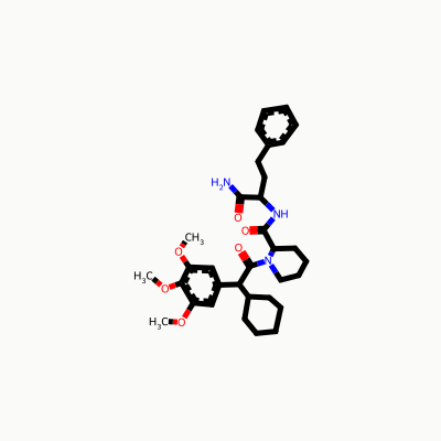 COc1cc(C(C(=O)N2CCCCC2C(=O)NC(CCc2ccccc2)C(N)=O)C2CCCCC2)cc(OC)c1OC